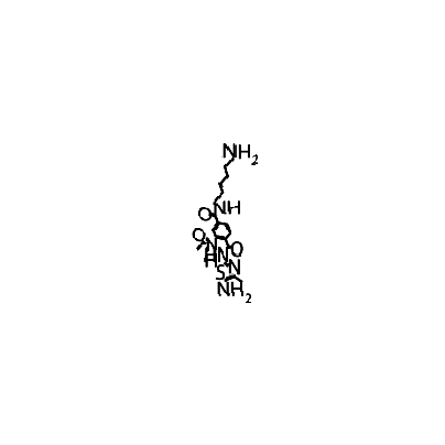 CC(=O)Nc1cc(C(=O)NCCCCCCN)ccc1C(=O)Nc1nc(C)c(N)s1